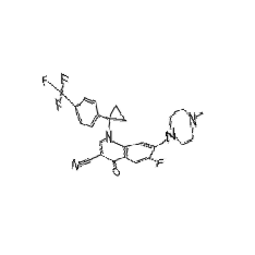 CN1CCN(c2cc3c(cc2F)c(=O)c(C#N)cn3C2(c3ccc(C(F)(F)F)cc3)CC2)CC1